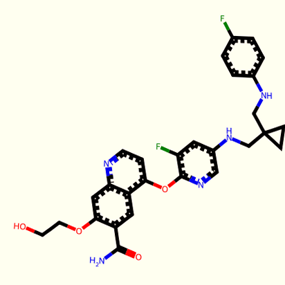 NC(=O)c1cc2c(Oc3ncc(NCC4(CNc5ccc(F)cc5)CC4)cc3F)ccnc2cc1OCCO